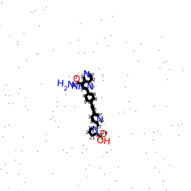 NNC(=O)c1cc(-c2ccc(C#Cc3ccc(CN4CCC[C@@H]4C(=O)O)nc3)cc2)nc2ccncc12